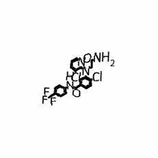 NC(=O)CN(c1cc(C(=O)Nc2ccc(C(F)(F)F)cc2)ccc1Cl)c1ncccc1Cl